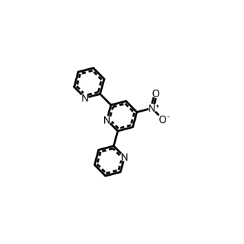 O=[N+]([O-])c1cc(-c2ccccn2)nc(-c2ccccn2)c1